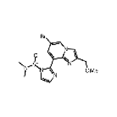 COCc1cn2cc(Br)cc(-c3nccn3[S+]([O-])N(C)C)c2n1